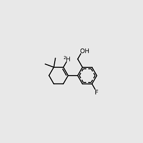 [2H]C1=C(c2cc(F)ccc2CO)CCCC1(C)C